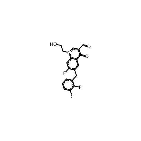 O=Cc1cn(CCO)c2cc(F)c(Cc3cccc(Cl)c3F)cc2c1=O